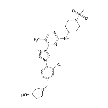 CS(=O)(=O)N1CCC(Nc2ncc(C(F)(F)F)c(-c3cn(-c4ccc(CN5CCC(O)C5)cc4Cl)cn3)n2)CC1